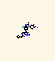 Cc1nc2c(F)cc(-c3c[nH]c4nc(CC5CCC5)ncc34)cc2n1C1CCN(C)CC1